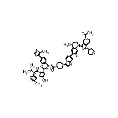 CC(=O)N1CCc2c(c(N3CCN(C)c4cc(-c5ccn6c(N7CCN(C(=O)C[C@H](NC(=O)[C@@H]8C[C@@H](O)CN8C(=O)[C@@H](c8cc(C)no8)C(C)C)c8ccc(-c9scnc9C)cc8)CC7)cnc6c5)c(F)cc43)nn2C2CCOCC2)C1